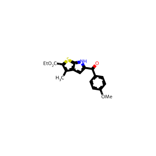 CCOC(=O)c1sc2[nH]c(C(=O)c3ccc(OC)cc3)cc2c1C